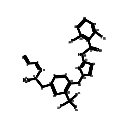 C=C/C=N\N(N)Cc1ccc(Cn2ccc(NC(=O)c3c(F)cccc3F)n2)c(C(F)(F)F)c1